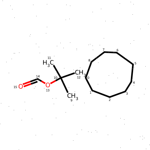 C1CCCCCCCC1.CC(C)(C)OC=O